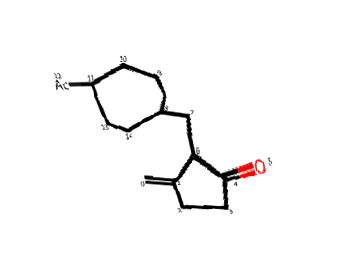 C=C1CCC(=O)C1CC1CCC(C(C)=O)CC1